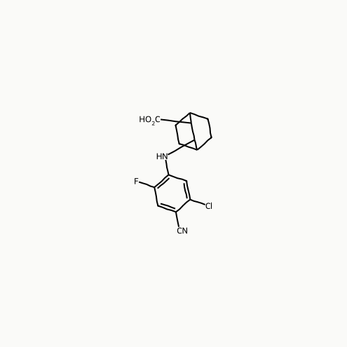 N#Cc1cc(F)c(NC2C3CCC(CC3)C2C(=O)O)cc1Cl